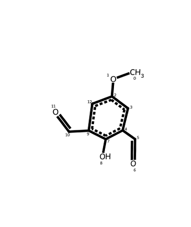 COc1cc(C=O)c(O)c(C=O)c1